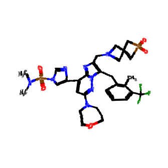 Cc1c(Cc2c(CN3CC4(C3)CS(=O)(=O)C4)nc3c(-c4cn(S(=O)(=O)N(C)C)cn4)cc(N4CCOCC4)nn23)cccc1C(F)(F)F